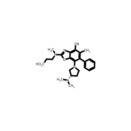 Cc1c(-c2ccccc2)c(N2CC[C@H](N(C)C)C2)c2oc(N(C)CCC(=O)O)nc2c1C#N